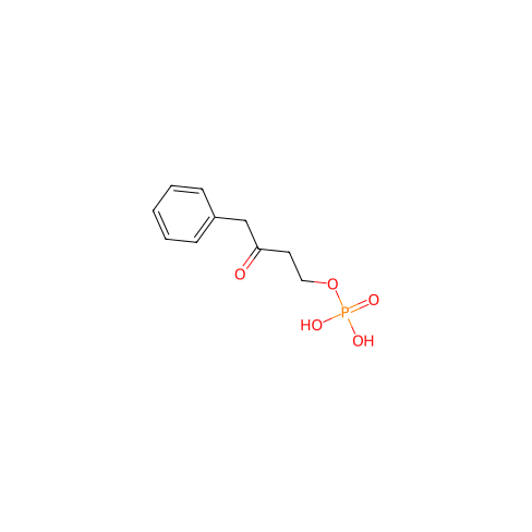 O=C(CCOP(=O)(O)O)Cc1ccccc1